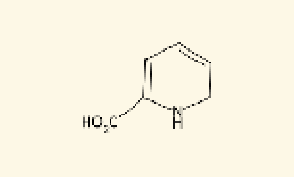 O=C(O)C1=CC=CCN1